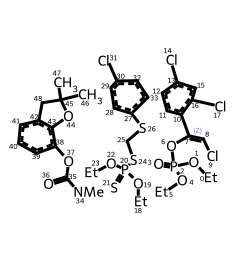 CCOP(=O)(OCC)O/C(=C\Cl)c1ccc(Cl)cc1Cl.CCOP(=S)(OCC)SCSc1ccc(Cl)cc1.CNC(=O)Oc1cccc2c1OC(C)(C)C2